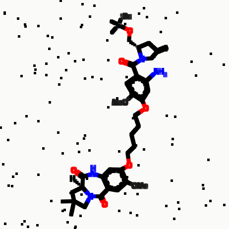 C=C1C[C@@H](CO[Si](C)(C)C(C)(C)C)N(C(=O)c2cc(OC)c(OCCCCCOc3cc4c(cc3OC)C(=O)N3CC(C)(C)C[C@H]3C(=O)N4)cc2N)C1